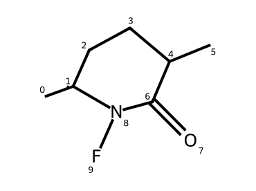 C[C]1CCC(C)C(=O)N1F